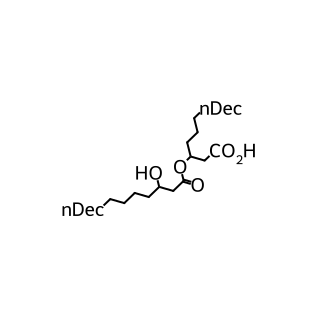 CCCCCCCCCCCCCCC(O)CC(=O)OC(CCCCCCCCCCCCC)CC(=O)O